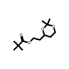 CC1(C)OCCC(CCOC(=O)C(C)(C)C)O1